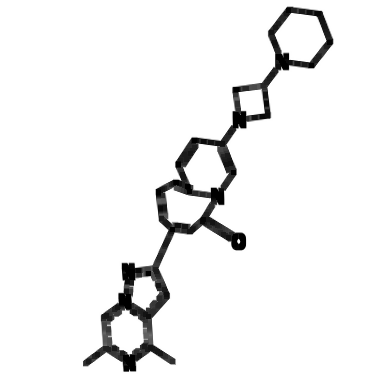 Cc1cn2nc(C3=C\C(=O)N4C=C(N5CC(N6CCCCC6)C5)C=C\C4=C/C=C/3)cc2c(C)n1